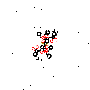 O=C1C(=O)c2ccc(C(F)(F)F)cc2/C1=C/C1=Cc2sc3c4c(sc3c2C1(C(=O)OCc1ccccc1)C(=O)OCc1ccccc1)C=C(/C=C1\C(=O)C(=O)c2ccc(C(F)(F)F)cc21)C4(C(=O)OCc1ccccc1)C(=O)OCc1ccccc1